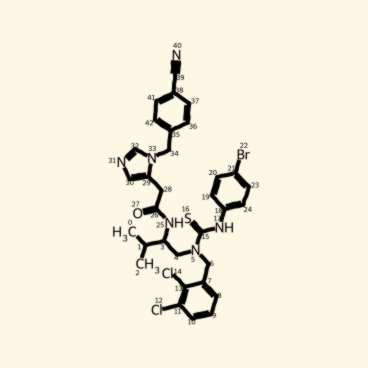 CC(C)C(CN(Cc1cccc(Cl)c1Cl)C(=S)Nc1ccc(Br)cc1)NC(=O)Cc1cncn1Cc1ccc(C#N)cc1